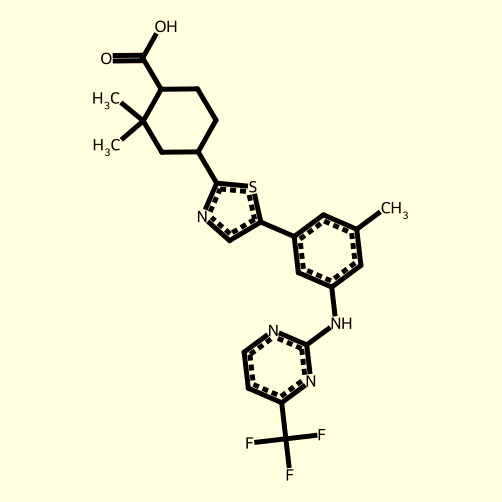 Cc1cc(Nc2nccc(C(F)(F)F)n2)cc(-c2cnc(C3CCC(C(=O)O)C(C)(C)C3)s2)c1